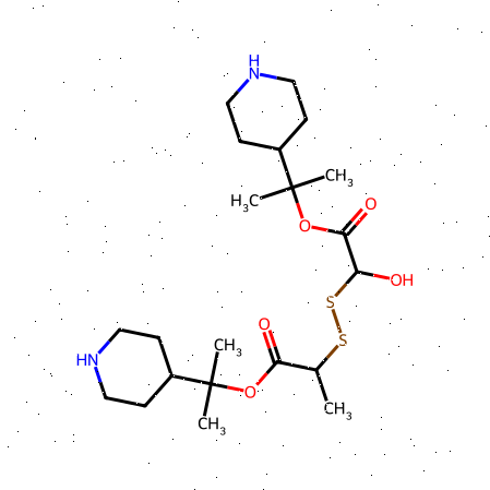 CC(SSC(O)C(=O)OC(C)(C)C1CCNCC1)C(=O)OC(C)(C)C1CCNCC1